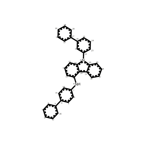 c1ccc(-c2ccc(Nc3cccc4c3c3ccccc3n4-c3cccc(-c4ccccc4)c3)cc2)cc1